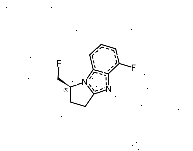 FC[C@@H]1CCc2nc3c(F)cccc3n21